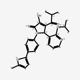 Cc1ccc(-c2ccc(N3C(=O)C(O)=C(C(=O)C(C)C)C3c3cccnc3OC(C)C)cc2)o1